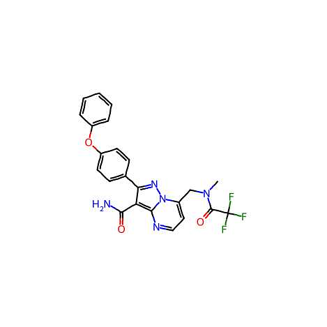 CN(Cc1ccnc2c(C(N)=O)c(-c3ccc(Oc4ccccc4)cc3)nn12)C(=O)C(F)(F)F